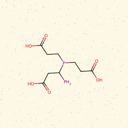 O=C(O)CCP(CCC(=O)O)C(P)CC(=O)O